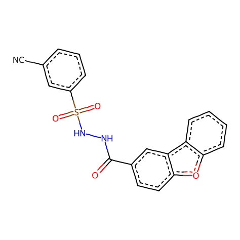 N#Cc1cccc(S(=O)(=O)NNC(=O)c2ccc3oc4ccccc4c3c2)c1